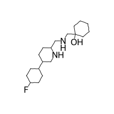 OC1(CNCC2CCC(C3CCC(F)CC3)CN2)CCCCC1